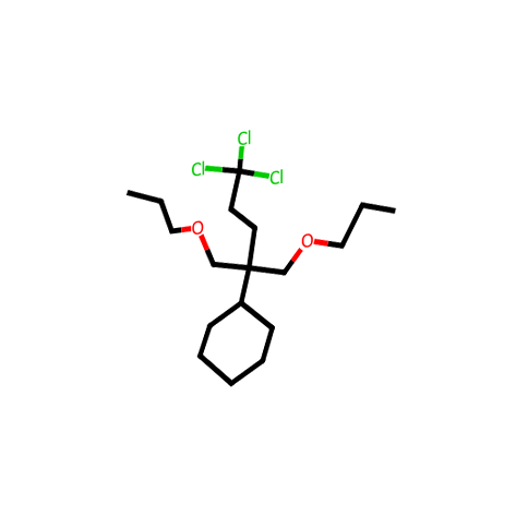 CCCOCC(CCC(Cl)(Cl)Cl)(COCCC)C1CCCCC1